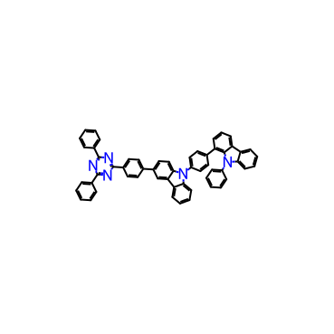 c1ccc(-c2nc(-c3ccccc3)nc(-c3ccc(-c4ccc5c(c4)c4ccccc4n5-c4ccc(-c5cccc6c7ccccc7n(-c7ccccc7)c56)cc4)cc3)n2)cc1